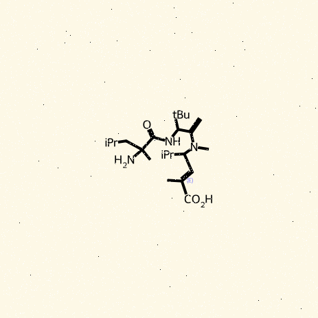 C=C(C(NC(=O)C(C)(N)CC(C)C)C(C)(C)C)N(C)C(/C=C(\C)C(=O)O)C(C)C